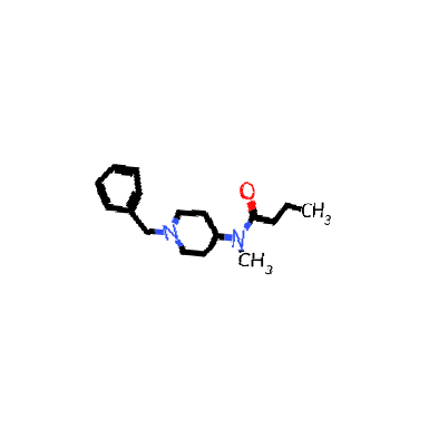 CCCC(=O)N(C)C1CCN(Cc2ccccc2)CC1